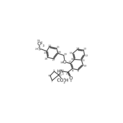 O=C(NC1(C(=O)O)CCC1)c1ccc2ccccc2c1OCc1ccc(SC(F)(F)F)cc1